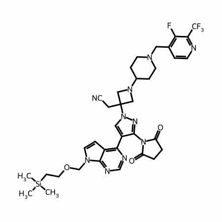 C[Si](C)(C)CCOCn1ccc2c(-c3cn(C4(CC#N)CN(C5CCN(Cc6ccnc(C(F)(F)F)c6F)CC5)C4)nc3N3C(=O)CCC3=O)ncnc21